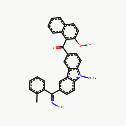 CCCCCCn1c2ccc(C(=O)c3c(OCC)ccc4ccccc34)cc2c2cc(/C(=N\OC(C)=O)c3ccccc3C)ccc21